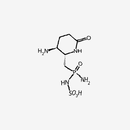 N[C@H]1CCC(=O)N[C@@H]1CP(N)(=O)NS(=O)(=O)O